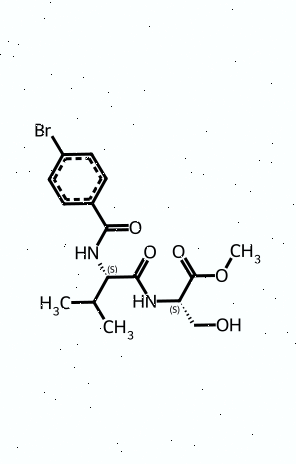 COC(=O)[C@H](CO)NC(=O)[C@@H](NC(=O)c1ccc(Br)cc1)C(C)C